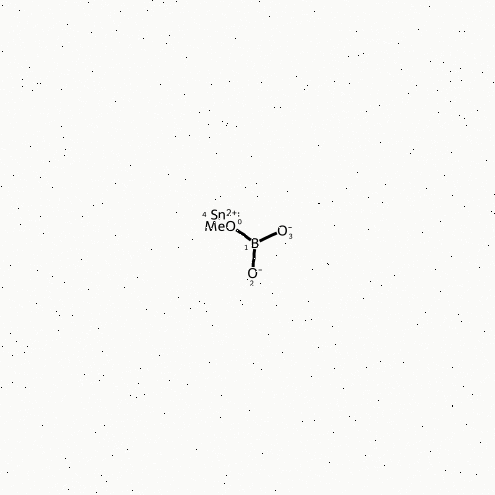 COB([O-])[O-].[Sn+2]